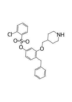 O=S(=O)(Oc1ccc(Cc2ccccc2)c(OCC2CCNCC2)c1)c1ccccc1Cl